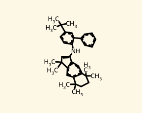 CC(C)(C)c1ccc(NC2=CC(C)(C)c3cc4c(cc32)C(C)(C)CCC4(C)C)c(-c2ccccc2)c1